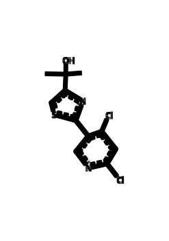 CC(C)(O)c1csc(-c2cnc(Cl)cc2Cl)n1